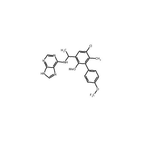 COc1c(C(C)Nc2ncnc3[nH]cnc23)cc(Cl)c(C)c1-c1ccc(OC(F)(F)F)cc1